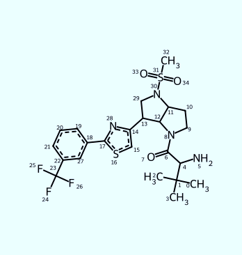 CC(C)(C)C(N)C(=O)N1CCC2C1C(c1csc(-c3cccc(C(F)(F)F)c3)n1)CN2S(C)(=O)=O